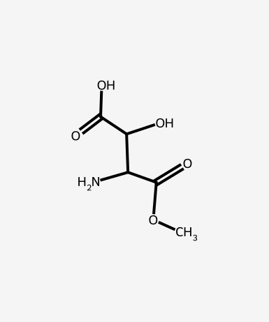 COC(=O)C(N)C(O)C(=O)O